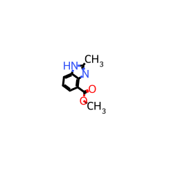 COC(=O)c1cccc2[nH]c(C)nc12